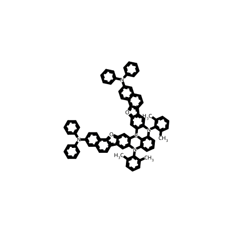 Cc1cccc(C)c1N1c2cc3c(cc2B2c4cc5oc6c7ccc(N(c8ccccc8)c8ccccc8)cc7ccc6c5cc4N(c4c(C)cccc4C)c4cccc1c42)oc1c2ccc(N(c4ccccc4)c4ccccc4)cc2ccc31